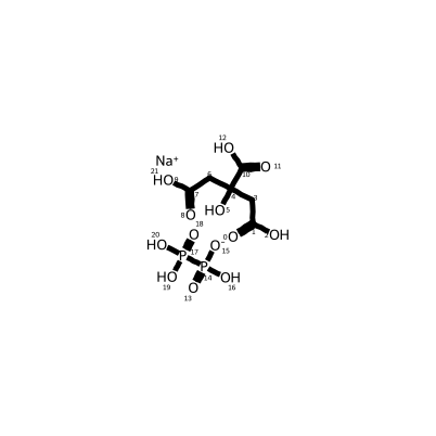 O=C(O)CC(O)(CC(=O)O)C(=O)O.O=P([O-])(O)P(=O)(O)O.[Na+]